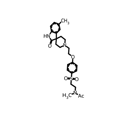 CC(=O)N(C)CCS(=O)(=O)c1ccc(OCCN2CCC3(CC2)C(=O)Nc2ccc(C)cc23)cc1